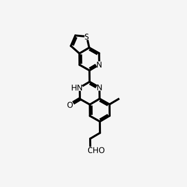 Cc1cc(CCC=O)cc2c(=O)[nH]c(-c3cc4ccsc4cn3)nc12